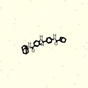 O=C(NC12CC3CC(CC(C3)C1)C2)c1ccc2[nH]c(-c3ccc(NC(=O)C4CC5CCC4C5)cc3)nc2c1